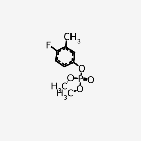 COP(=O)(OC)Oc1ccc(F)c(C)c1